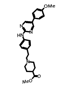 COC(=O)C1CCN(CCc2ccc(Nc3ncc(-c4ccc(OC)cc4)cn3)cc2)CC1